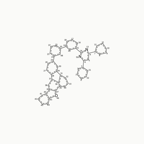 c1ccc(-c2cc(-c3ccccc3)nc(-c3cccc(-c4cccc(-c5ccc6c(c5)-c5cccc7c5c-6cc5c6ccccc6oc75)c4)c3)n2)cc1